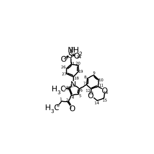 CCC(=O)c1cc(-c2cccc3c2OCCO3)n(-c2ccc(S(N)(=O)=O)cc2)c1C